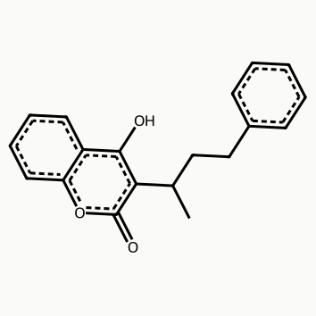 CC(CCc1ccccc1)c1c(O)c2ccccc2oc1=O